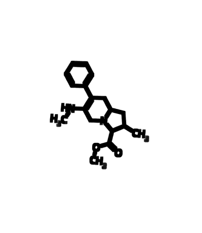 CNC1=C(c2ccccc2)CC2CC(C)C(C(=O)OC)N2C1